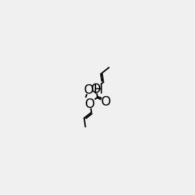 CC=COC(=O)OC=CC.CO